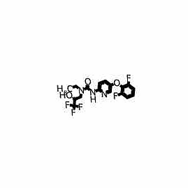 CCN(C[C@@H](O)C(F)(F)F)C(=O)Nc1ccc(Oc2c(F)cccc2F)cn1